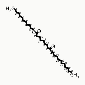 CCCCCCCCCCCCOC(=O)CCCCCCCC(=O)OCCCCCCCCCCCC